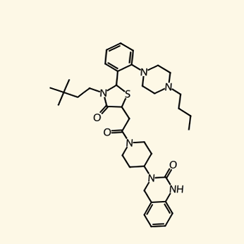 CCCCN1CCN(c2ccccc2C2SC(CC(=O)N3CCC(N4Cc5ccccc5NC4=O)CC3)C(=O)N2CCC(C)(C)C)CC1